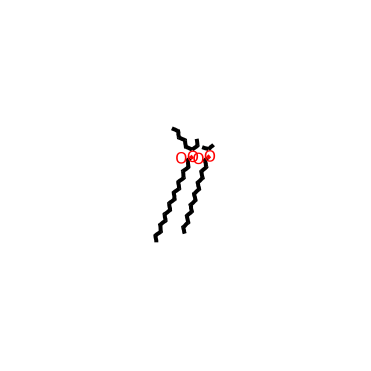 CCCCCCCCCCCCCC(=O)OC(C)C.CCCCCCCCCCCCCCCC(=O)OC(CC)CCCCC